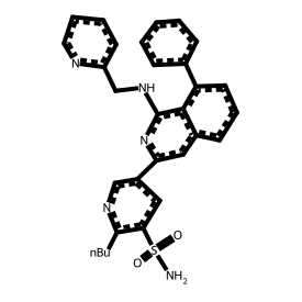 CCCCc1ncc(-c2cc3cccc(-c4ccccc4)c3c(NCc3ccccn3)n2)cc1S(N)(=O)=O